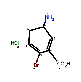 Cl.NC1C=C(C(=O)O)C(Br)=CC1